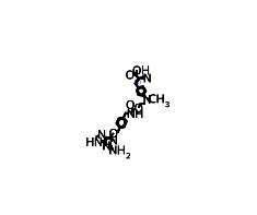 CN(CCOC(=O)NCc1ccc(COc2nc(N)nc3[nH]cnc23)cc1)c1ccc(/C=C(\C#N)C(=O)O)cc1